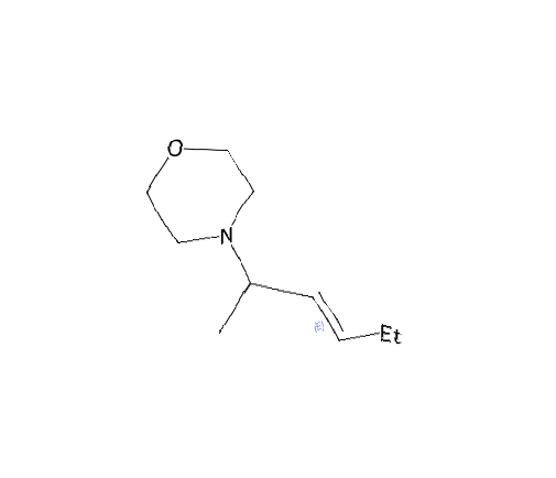 CC/C=C/C(C)N1CCOCC1